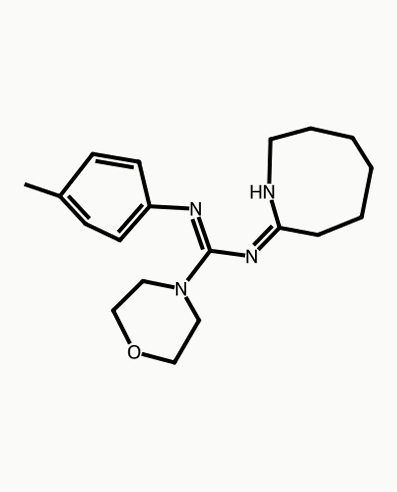 Cc1ccc(N=C(N=C2CCCCCCN2)N2CCOCC2)cc1